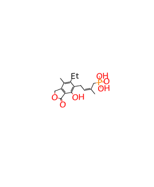 CCc1c(C)c2c(c(O)c1CC=C(C)CP(=O)(O)O)C(=O)OC2